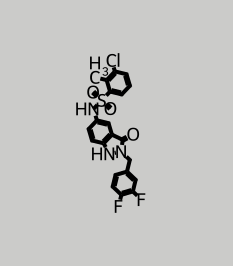 Cc1c(Cl)cccc1S(=O)(=O)Nc1ccc2[nH]n(Cc3ccc(F)c(F)c3)c(=O)c2c1